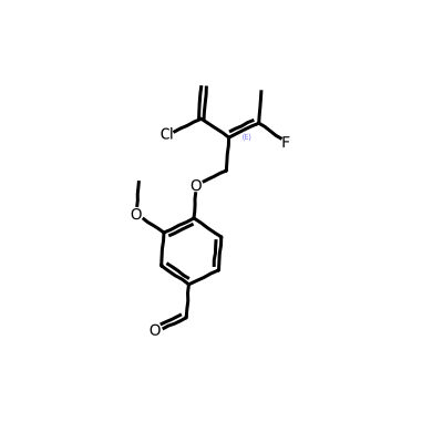 C=C(Cl)/C(COc1ccc(C=O)cc1OC)=C(\C)F